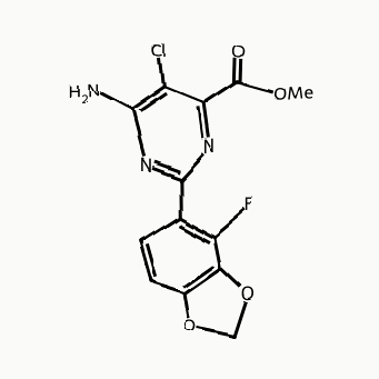 COC(=O)c1nc(-c2ccc3c(c2F)OCO3)nc(N)c1Cl